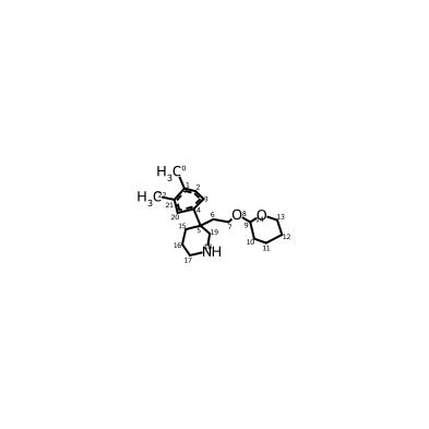 Cc1ccc(C2(CCOC3CCCCO3)CCCNC2)cc1C